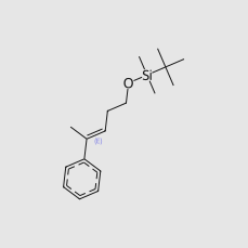 C/C(=C\CCO[Si](C)(C)C(C)(C)C)c1ccccc1